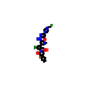 Cn1cc(-c2cc(F)cc(N3CCc4c(sc5c4CC(C)(C)C5)C3=O)c2CO)cc(Nc2ccc(N3CCN(CCF)CC3)cn2)c1=O